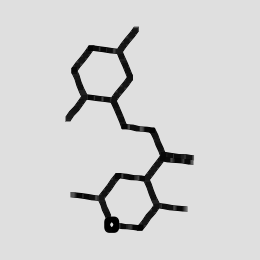 C=C(CCC1CC(C)CCC1C)C1CC(C)OCC1C